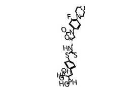 O=C1O[C@@H](CNC(=S)Sc2ccc(CC(PO)[PH](=O)O)cc2)CN1c1ccc(N2CCOCC2)c(F)c1